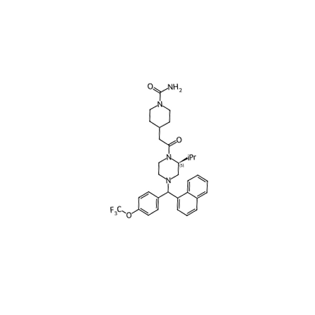 CC(C)[C@H]1CN(C(c2ccc(OC(F)(F)F)cc2)c2cccc3ccccc23)CCN1C(=O)CC1CCN(C(N)=O)CC1